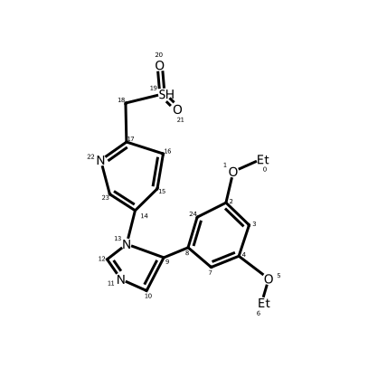 CCOc1cc(OCC)cc(-c2cncn2-c2ccc(C[SH](=O)=O)nc2)c1